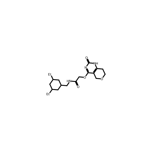 CCC1CC(CC)CC(CNC(=O)COc2nc(=O)[nH]c3c2COCC3)C1